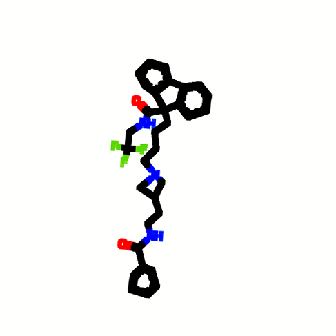 O=C(NCCC1CN(CCCCC2(C(=O)NCC(F)(F)F)c3ccccc3-c3ccccc32)C1)c1ccccc1